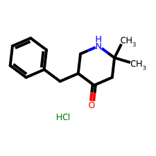 CC1(C)CC(=O)C(Cc2ccccc2)CN1.Cl